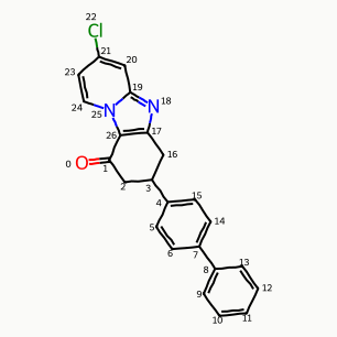 O=C1CC(c2ccc(-c3ccccc3)cc2)Cc2nc3cc(Cl)ccn3c21